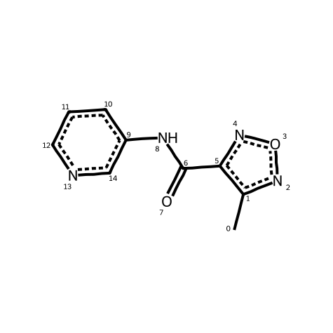 Cc1nonc1C(=O)Nc1cccnc1